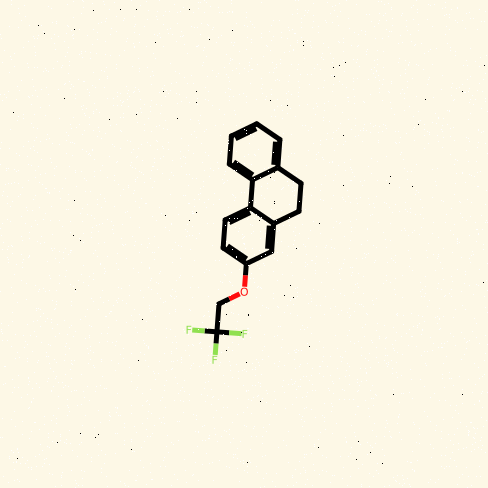 FC(F)(F)COc1ccc2c(c1)CCc1ccccc1-2